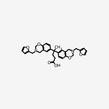 CC(CCC(=O)O)(c1ccc2c(c1)CN(Cc1ccco1)CO2)c1ccc2c(c1)CN(Cc1ccco1)CO2